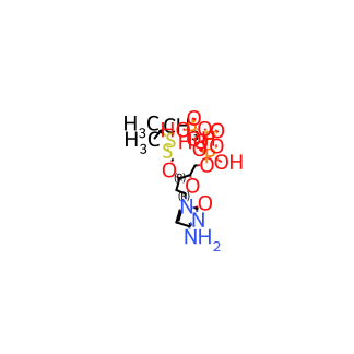 CC(C)(C)SSCO[C@@H]1C[C@H](n2ccc(N)nc2=O)OC1COP(=O)(O)OP(=O)(O)OP(=O)(O)O